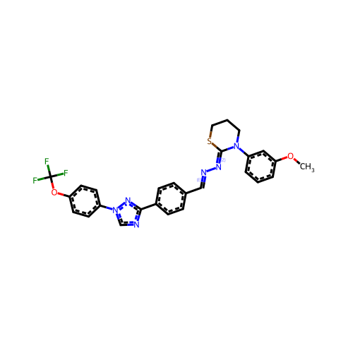 COc1cccc(N2CCCS/C2=N\N=C\c2ccc(-c3ncn(-c4ccc(OC(F)(F)F)cc4)n3)cc2)c1